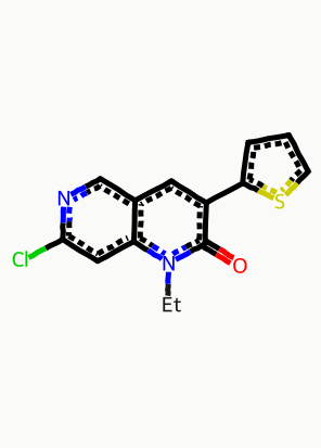 CCn1c(=O)c(-c2cccs2)cc2cnc(Cl)cc21